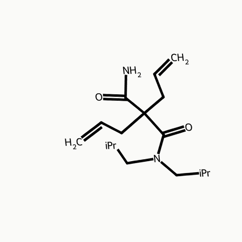 C=CCC(CC=C)(C(N)=O)C(=O)N(CC(C)C)CC(C)C